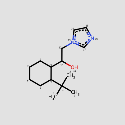 CC(C)(C)C1CCCCC1C(O)Cn1ccnc1